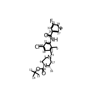 Cc1c(CN2CCN(C(=O)OC(C)(C)C)[C@@H](C)C2)cc(Cl)cc1NC(=O)c1cncc(F)c1